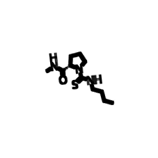 CCCCNC(=S)N1CCC[C@H]1C(=O)NC